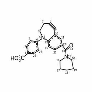 O=C(O)c1ccc(N2CCC#Cc3cc(C(=O)N4CCCCC4)ccc32)cc1